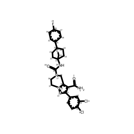 NC(=O)c1c(-c2ccc(Cl)c(Cl)c2)nn2c1CN(C(=O)NC13CCC(c4ccc(F)cc4)(CC1)CC3)CC2